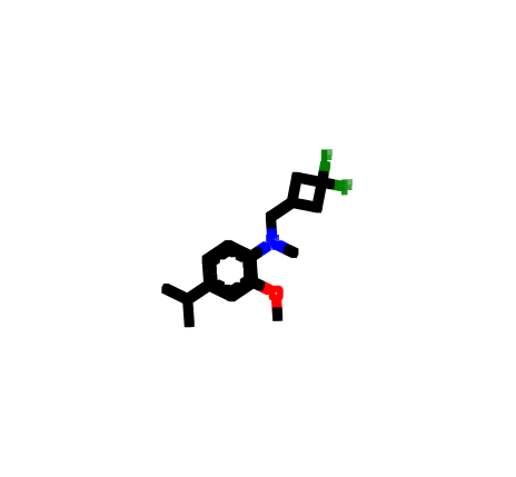 COc1cc(C(C)C)ccc1N(C)CC1CC(F)(F)C1